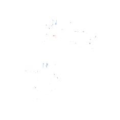 O=c1c2ccccc2ncn1CCSc1nnc(Cc2ccc(F)cc2)o1